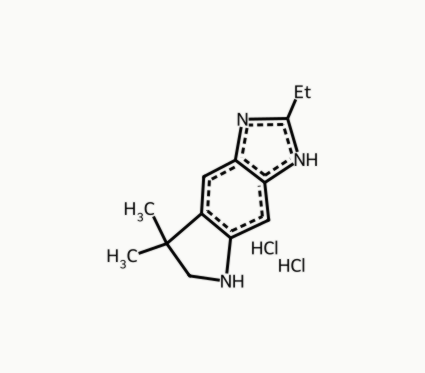 CCc1nc2cc3c(cc2[nH]1)NCC3(C)C.Cl.Cl